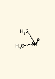 CCCCCCCCCCCCCCc1n(CCCCCCCCCCC)cc[n+]1CCCc1ccccc1